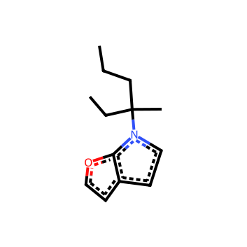 CCCC(C)(CC)n1ccc2ccoc21